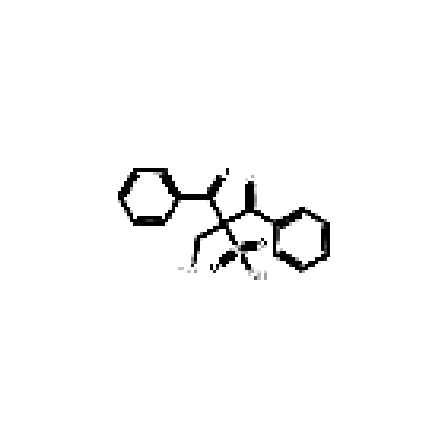 NCC(C(=O)c1ccccc1)(C(=O)c1ccccc1)S(=O)(=O)O